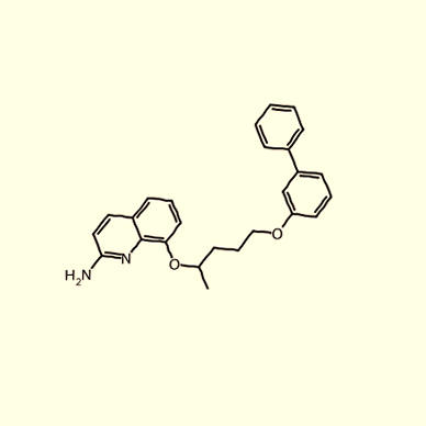 CC(CCCOc1cccc(-c2ccccc2)c1)Oc1cccc2ccc(N)nc12